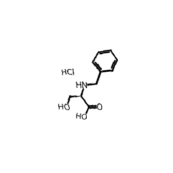 Cl.O=C(O)[C@@H](CO)NCc1ccccc1